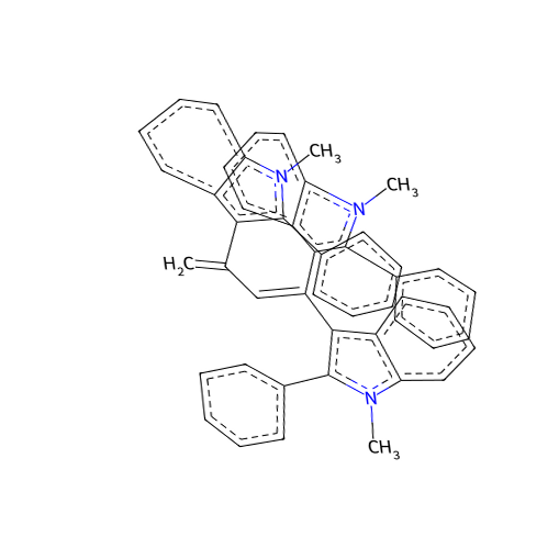 C=C(C=C(c1c(-c2ccccc2)n(C)c2ccccc12)c1c(-c2ccccc2)n(C)c2ccccc12)c1c(-c2ccccc2)n(C)c2ccccc12